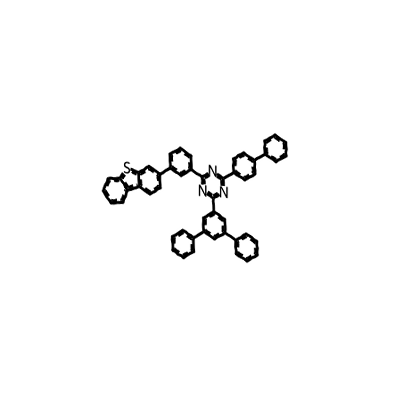 c1ccc(-c2ccc(-c3nc(-c4cccc(-c5ccc6c(c5)sc5ccccc56)c4)nc(-c4cc(-c5ccccc5)cc(-c5ccccc5)c4)n3)cc2)cc1